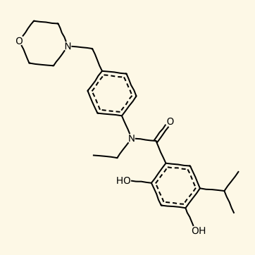 CCN(C(=O)c1cc(C(C)C)c(O)cc1O)c1ccc(CN2CCOCC2)cc1